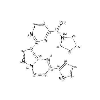 O=C(c1ccnc(-c2cnn3ccc(-c4cccs4)nc23)c1)N1CCCC1